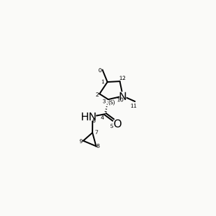 CC1C[C@@H](C(=O)NC2CC2)N(C)C1